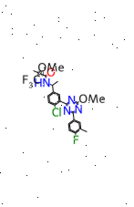 COc1nc(-c2ccc(F)c(C)c2)nc(-c2cc(C(C)NC(=O)[C@@](C)(OC)C(F)(F)F)ccc2Cl)n1